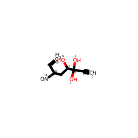 C#CC(O)(O)C(O)CC(C=C)N=O